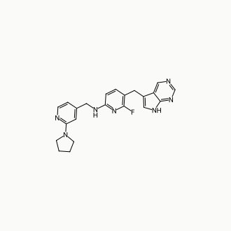 Fc1nc(NCc2ccnc(N3CCCC3)c2)ccc1Cc1c[nH]c2ncncc12